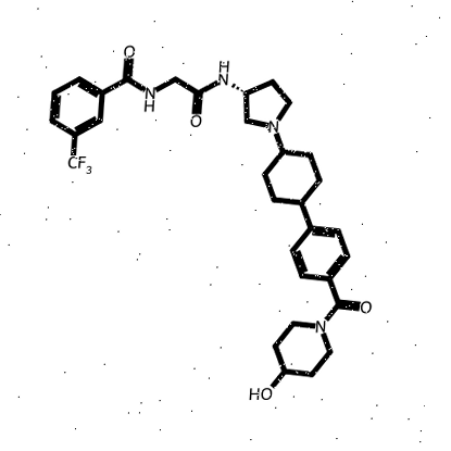 O=C(CNC(=O)c1cccc(C(F)(F)F)c1)N[C@@H]1CCN(C2CCC(c3ccc(C(=O)N4CCC(O)CC4)cc3)CC2)C1